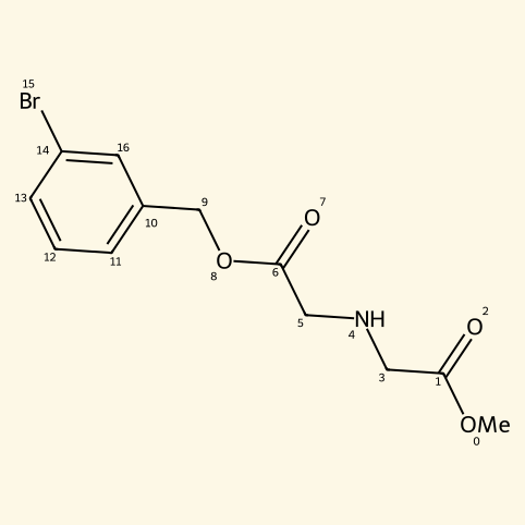 COC(=O)CNCC(=O)OCc1cccc(Br)c1